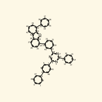 c1ccc(-c2ccc(-c3nc(-c4ccccc4)nc(-c4cccc(-c5cccc6c5oc5c(-c7ccccc7)cccc56)c4)n3)cc2)cc1